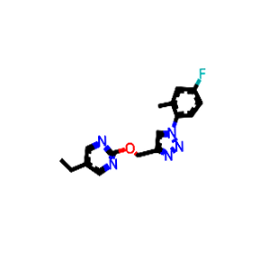 CCc1cnc(OCc2cn(-c3ccc(F)cc3C)nn2)nc1